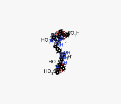 CC1C(CC2CCCC(Nc3nc(N)nc(Nc4cc(Nc5ccc6c7c5C(=O)c5ccccc5-c7c(C(=O)c5cccc(S(=O)(=O)O)c5)c(=O)n6C)c(S(=O)(=O)O)cc4S(=O)(=O)O)n3)C2C)CCCC1Nc1nc(N)nc(Nc2cc(Nc3ccc4c5c3C(=O)c3ccccc3-c5c(C(=O)c3cccc(S(=O)(=O)O)c3)c(=O)n4C)c(S(=O)(=O)O)cc2S(=O)(=O)O)n1